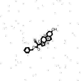 C[C@]12CC[C@H]3[C@@H](CC=C4CC(O)CC[C@@H]43)[C@@H]1CC/C2=C(/C#N)C(=O)OCc1ccccc1